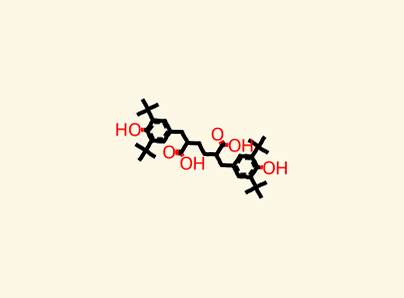 CC(C)(C)c1cc(CC(CCC(Cc2cc(C(C)(C)C)c(O)c(C(C)(C)C)c2)C(=O)O)C(=O)O)cc(C(C)(C)C)c1O